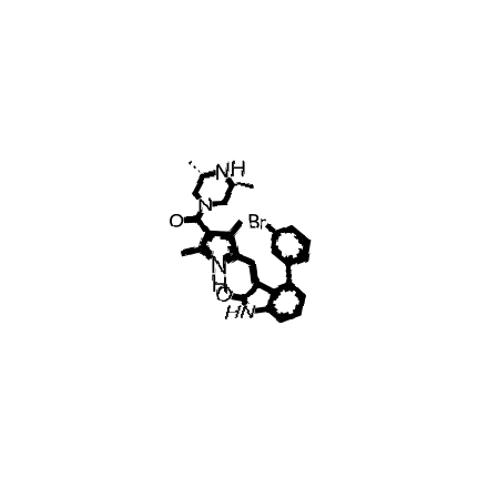 Cc1[nH]c(/C=C2\C(=O)Nc3cccc(-c4cccc(Br)c4)c32)c(C)c1C(=O)N1C[C@H](C)N[C@@H](C)C1